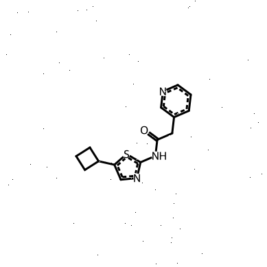 O=C(Cc1cccnc1)Nc1ncc(C2CCC2)s1